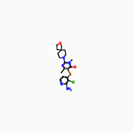 Cc1nc(N2CCC3(CCOC3)CC2)n(C)c(=O)c1Sc1ccnc(N)c1Cl